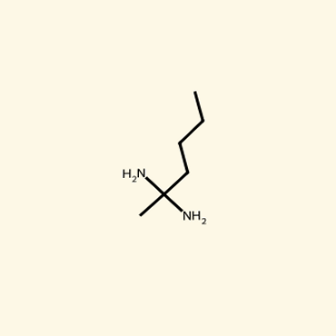 CCCCC(C)(N)N